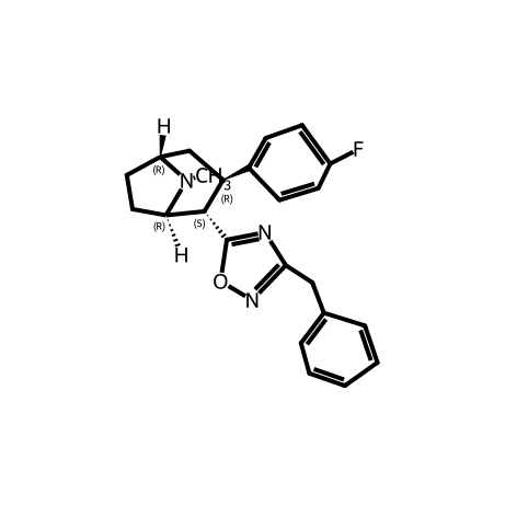 CN1[C@@H]2CC[C@@H]1[C@@H](c1nc(Cc3ccccc3)no1)[C@H](c1ccc(F)cc1)C2